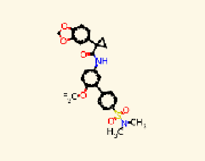 CN(C)S(=O)(=O)c1ccc(-c2cc(NC(=O)C3(c4ccc5c(c4)OCO5)CC3)ccc2OC(F)(F)F)cc1